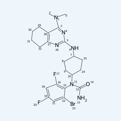 CN(C)c1nc(NC2CCC(N(C(N)=O)c3c(F)cc(F)cc3Br)CC2)nc2c1CCCC2